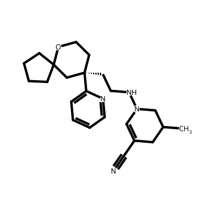 CC1CC(C#N)=CN(NCC[C@@]2(c3ccccn3)CCOC3(CCCC3)C2)C1